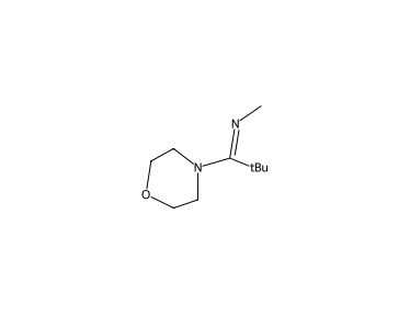 CN=C(N1CCOCC1)C(C)(C)C